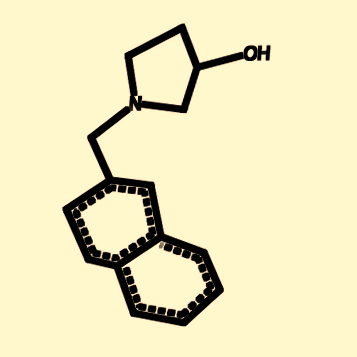 OC1CCN(Cc2ccc3ccccc3c2)C1